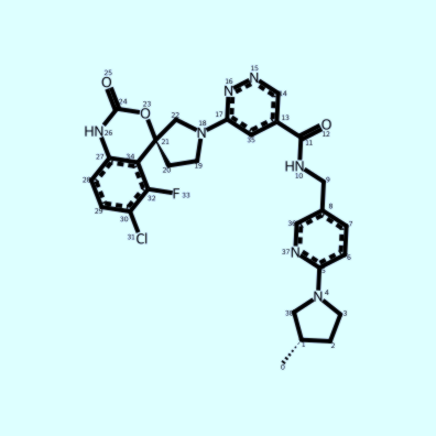 C[C@H]1CCN(c2ccc(CNC(=O)c3cnnc(N4CC[C@]5(C4)OC(=O)Nc4ccc(Cl)c(F)c45)c3)cn2)C1